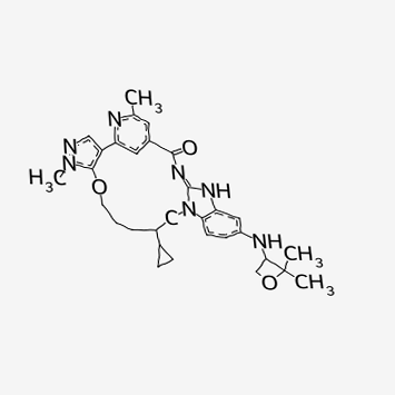 Cc1cc2cc(n1)-c1cnn(C)c1OCCCC(C1CC1)CN1/C(=N/C2=O)Nc2cc(NC3COC3(C)C)ccc21